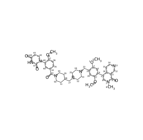 COc1cc(-c2cn(C)c(=O)c3cnccc23)c(OC)cc1CN1CCN(CC2CCN(C(=O)c3ccc(OC)c(-n4ccc(=O)[nH]c4=O)c3)CC2)CC1